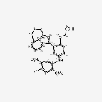 COc1cc(F)c([N+](=O)[O-])cc1Nc1ncc(SCC(=O)O)c(-c2cn3c4c(cccc24)CCC3)n1